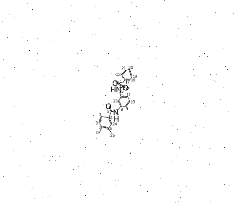 Cc1ccc(C(=O)Nc2cccc(NS(=O)(=O)c3ccccc3)c2)cc1C